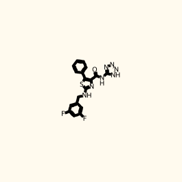 O=C(Nc1nnn[nH]1)c1nc(NCc2cc(F)cc(F)c2)sc1-c1ccccc1